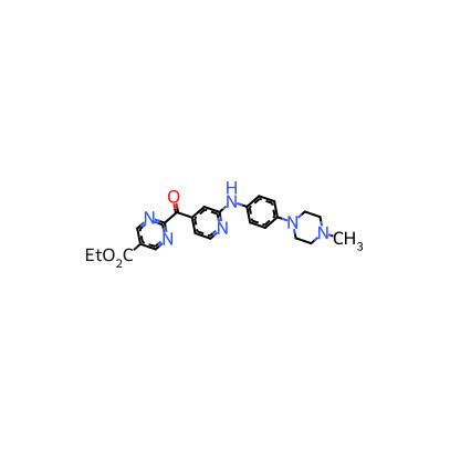 CCOC(=O)c1cnc(C(=O)c2ccnc(Nc3ccc(N4CCN(C)CC4)cc3)c2)nc1